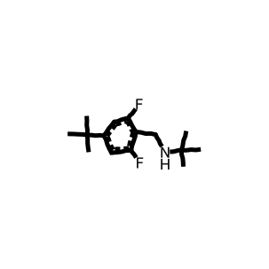 CC(C)(C)NCc1c(F)cc(C(C)(C)C)cc1F